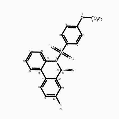 CCOC(=O)Oc1ccc(S(=O)(=O)N2c3ccccc3-c3ccc(F)cc3[C@@H]2C)cc1